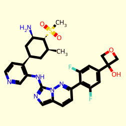 C[C@H]1C[C@@H](c2ccncc2Nc2ncc3ccc(-c4c(F)cc(C5(O)COC5)cc4F)nn23)C[C@@H](N)[C@@H]1S(C)(=O)=O